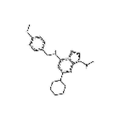 CBc1cnn2c(NCc3ccc(OC)nc3)cc(C3CCCCC3)nc12